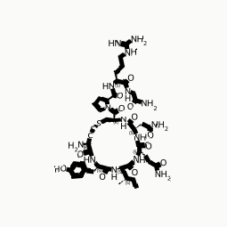 CC[C@H](C)[C@@H]1NC(=O)[C@H](Cc2ccc(O)cc2)NC(=O)[C@@H](N)CSSC[C@@H](C(=O)N2CCC[C@H]2C(=O)N[C@@H](CCCNC(=N)N)C(=O)NCC(N)=O)NC(=O)[C@H](CC(N)=O)NC(=O)[C@H](CCC(N)=O)NC1=O